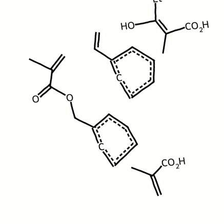 C=C(C)C(=O)O.C=C(C)C(=O)OCc1ccccc1.C=Cc1ccccc1.CC/C(O)=C(/C)C(=O)O